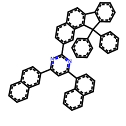 c1ccc(C2(c3ccccc3)c3ccccc3-c3ccc4ccc(-c5nc(-c6ccc7ccccc7c6)cc(-c6cccc7ccccc67)n5)cc4c32)cc1